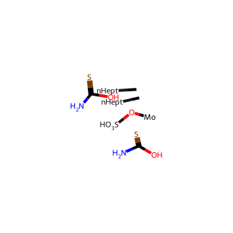 CCCCCCCC.CCCCCCCC.NC(O)=S.NC(O)=S.O=S(=O)(O)[O][Mo]